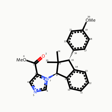 COC(=O)c1cncn1[C@@H]1c2ccccc2[C@@H](c2ccc(OC)cc2)C1(C)C